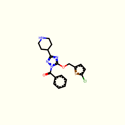 O=C(c1ccccc1)n1nc(C2CCNCC2)nc1OCc1ccc(Cl)s1